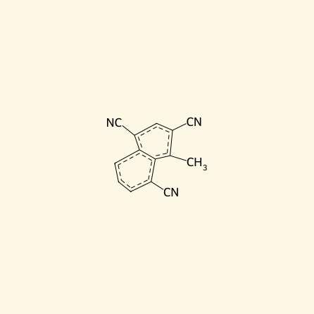 Cc1c(C#N)cc(C#N)c2cccc(C#N)c12